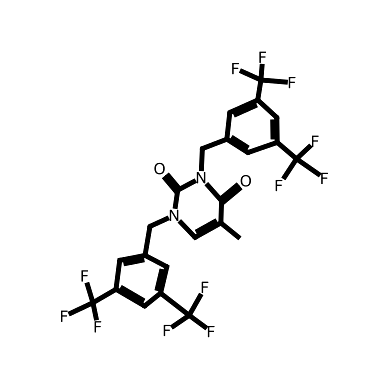 Cc1cn(Cc2cc(C(F)(F)F)cc(C(F)(F)F)c2)c(=O)n(Cc2cc(C(F)(F)F)cc(C(F)(F)F)c2)c1=O